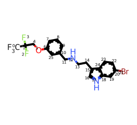 FC(F)(F)C(F)(F)COc1cccc(CNCCc2c[nH]c3cc(Br)ccc23)c1